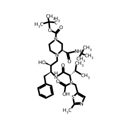 Cc1ncc(CN(C(=O)O)[C@H](C(=O)N[C@@H](Cc2ccccc2)[C@@H](O)CN2CCN(C(=O)OC(C)(C)C)C[C@H]2C(=O)NC(C)(C)C)C(C)C)s1